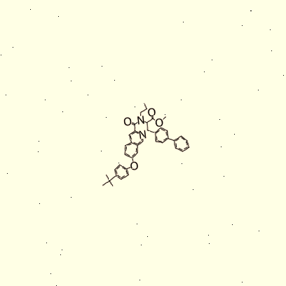 CCCN(C(=O)c1cc2ccc(Oc3ccc(C(C)(C)C)cc3)cc2cn1)C(Cc1ccc(-c2ccccc2)cc1)C(=O)OC